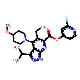 CCc1c(C(=O)Oc2ccnc(F)c2)nc2[nH]nc(C(C)C)c2c1N1CCC(OC)CC1